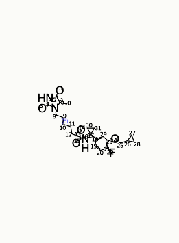 C[C@@H]1C(=O)NC(=O)N1C/C=C/CCS(=O)(=O)NC1(c2ccc(F)c(OCC3CC3)c2)CC1